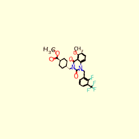 COc1cccc2c1c(=O)n(C[C@H]1CC[C@H](C(=O)OC)CC1)c(=O)n2Cc1cccc(C(F)(F)F)c1F